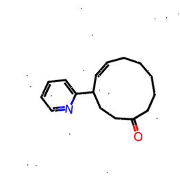 O=C1CCCCCC=CC(c2ccccn2)CC1